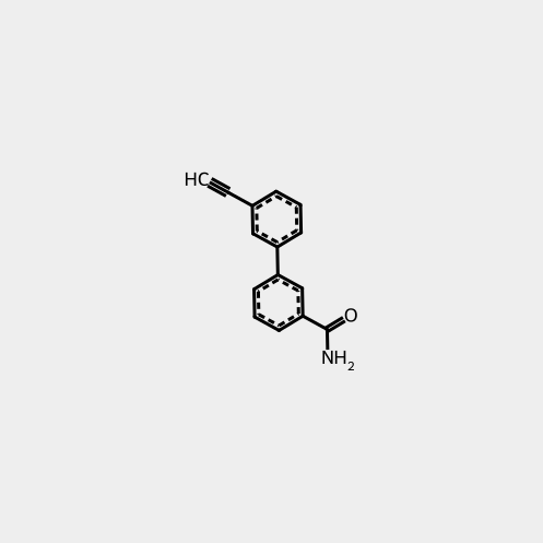 C#Cc1cccc(-c2cccc(C(N)=O)c2)c1